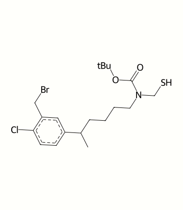 CC(CCCCN(CS)C(=O)OC(C)(C)C)c1ccc(Cl)c(CBr)c1